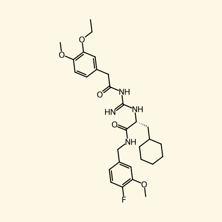 CCOc1cc(CC(=O)NC(=N)N[C@H](CC2CCCCC2)C(=O)NCc2ccc(F)c(OC)c2)ccc1OC